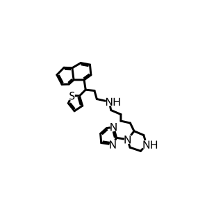 c1cnc(N2CCNCC2CCCCNCCC(c2cccs2)c2cccc3ccccc23)nc1